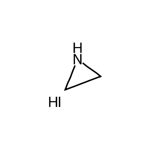 C1CN1.I